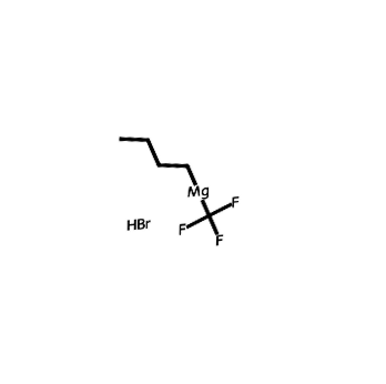 Br.CCC[CH2][Mg][C](F)(F)F